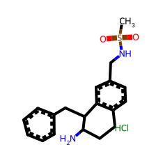 CS(=O)(=O)NCc1ccc2c(c1)C(Cc1ccccc1)C(N)CC2.Cl